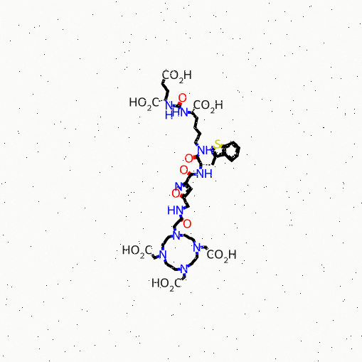 O=C(O)CC[C@H](NC(=O)N[C@@H](CCCCNC(=O)[C@H](Cc1csc2ccccc12)NC(=O)c1cc(CNC(=O)CN2CCN(CC(=O)O)CCN(CC(=O)O)CCN(CC(=O)O)CC2)on1)C(=O)O)C(=O)O